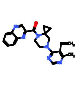 C=Cc1c(C)ncnc1N1CCN(C(=O)c2cnc3ccccc3n2)C2(CC2)C1